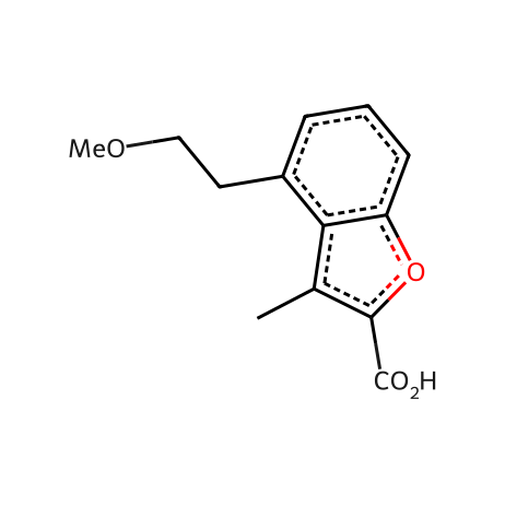 COCCc1cccc2oc(C(=O)O)c(C)c12